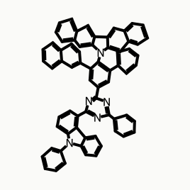 c1ccc(-c2nc(-c3cc(-c4ccccc4)c(-n4c5cc6ccccc6cc5c5cc6ccccc6cc54)c(-c4ccc5ccccc5c4)c3)nc(-c3cccc4c3c3ccccc3n4-c3ccccc3)n2)cc1